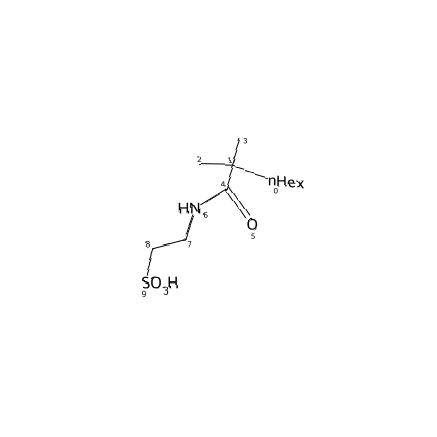 CCCCCCC(C)(C)C(=O)NCCS(=O)(=O)O